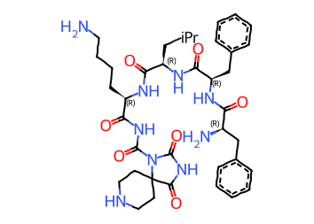 CC(C)C[C@@H](NC(=O)[C@@H](Cc1ccccc1)NC(=O)[C@H](N)Cc1ccccc1)C(=O)N[C@H](CCCCN)C(=O)NC(=O)N1C(=O)NC(=O)C12CCNCC2